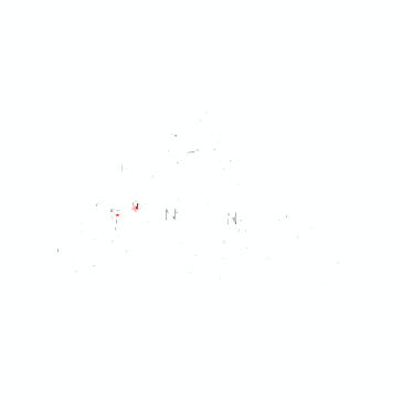 c1ccc(-c2ccc(N(c3ccccc3-c3ccccc3)c3cc4ccccc4c4c3c3cc(-c5ccccc5)ccc3n4-c3ccc(-c4ccccc4)cc3)cc2)cc1